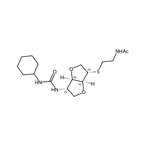 CC(=O)NCCS[C@H]1CO[C@H]2[C@@H]1OC[C@@H]2NC(=O)NC1CCCCC1